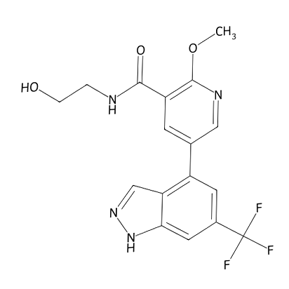 COc1ncc(-c2cc(C(F)(F)F)cc3[nH]ncc23)cc1C(=O)NCCO